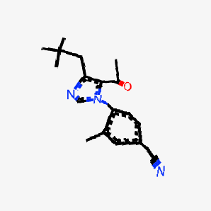 CC(=O)c1c(CC(C)(C)C)ncn1-c1ccc(C#N)cc1C